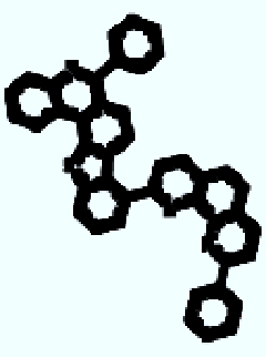 c1ccc(-c2ccc3ccc4ccc(-c5cccc6sc7c(ccc8c(-c9ccccc9)nc9ccccc9c87)c56)nc4c3n2)cc1